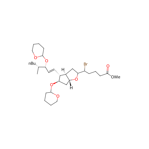 CCCC[C@@H](C)[C@@H](/C=C/[C@@H]1[C@H]2CC(C(Br)CCCC(=O)OC)O[C@@H]2C[C@H]1OC1CCCCO1)OC1CCCCO1